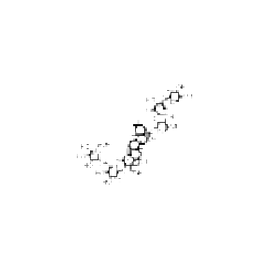 C[C@@H]1O[C@@H](O[C@H]2[C@H](OC(=O)[C@]34CCC(C)(C)C[C@H]3C3=CC[C@@H]5[C@@]6(C)C[C@H](O)[C@H](O[C@@H]7O[C@H](CO[C@@H]8O[C@H](CO)[C@@H](O)[C@H](O)[C@H]8O)[C@@H](O)[C@H](O)[C@H]7O)C(CO)(CO)[C@@H]6CC[C@@]5(C)[C@]3(C)C[C@H]4O)OC[C@H](O)[C@@H]2O)[C@H](O)[C@H](O)[C@H]1O[C@@H]1OC[C@@H](O)[C@H](O)[C@H]1O